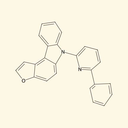 c1ccc(-c2cccc(-n3c4ccccc4c4c5ccoc5ccc43)n2)cc1